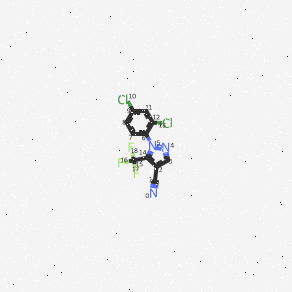 N#Cc1cnn(-c2ccc(Cl)cc2Cl)c1C(F)(F)F